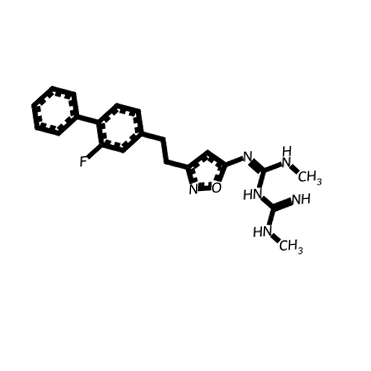 CNC(=N)NC(=Nc1cc(CCc2ccc(-c3ccccc3)c(F)c2)no1)NC